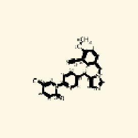 COc1ccc(Cn2cncc2Cc2ccc(-n3cc(Cl)ccc3=O)nc2)cc1C#N